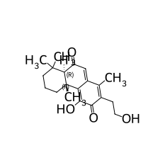 CC1=C(CCO)C(=O)C(O)=C2C1=CC(=O)[C@@H]1C(C)(C)CCC[C@@]21C